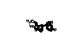 CCC1NSc2ccc(-c3c[nH]c4cc(F)ccc34)cc21